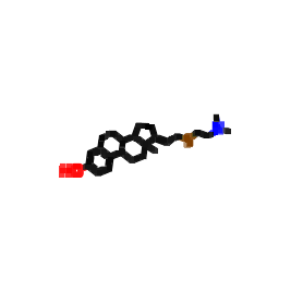 CN(C)CCSC/C=C1\CCC2C3CCc4cc(O)ccc4C3CCC12C